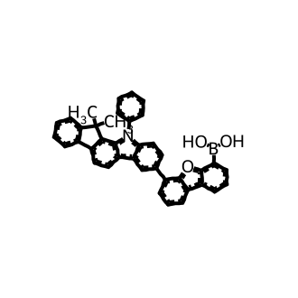 CC1(C)c2ccccc2-c2ccc3c4cc(-c5cccc6c5oc5c(B(O)O)cccc56)ccc4n(-c4ccccc4)c3c21